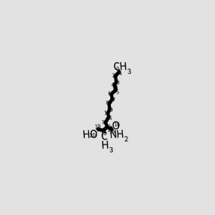 CCCCC=CCCCCCCCC(C(N)=O)C(C)CO